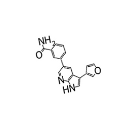 NC(=O)c1cccc(-c2cnc3[nH]cc(-c4ccoc4)c3c2)c1